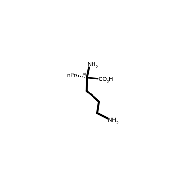 CCC[C@@](N)(CCCN)C(=O)O